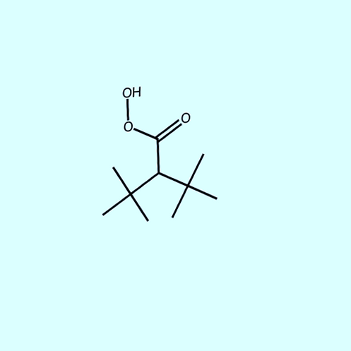 CC(C)(C)C(C(=O)OO)C(C)(C)C